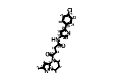 Cc1cc2n(n1)CCCN2C(=O)CCC(=O)Nc1cc(-c2ccc(Cl)cc2)no1